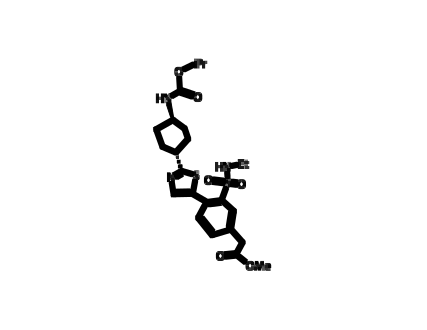 CCNS(=O)(=O)c1cc(CC(=O)OC)ccc1-c1cnc([C@H]2CC[C@H](NC(=O)OC(C)C)CC2)s1